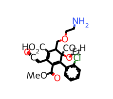 CCOC1(C(=O)O)C(c2ccccc2Cl)=C(C(=O)OC)C(C=C=O)=C(C(=O)O)C1COCCN